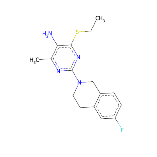 CCSc1nc(N2CCc3cc(F)ccc3C2)nc(C)c1N